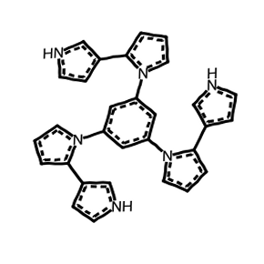 c1cc(-c2cc[nH]c2)n(-c2cc(-n3cccc3-c3cc[nH]c3)cc(-n3cccc3-c3cc[nH]c3)c2)c1